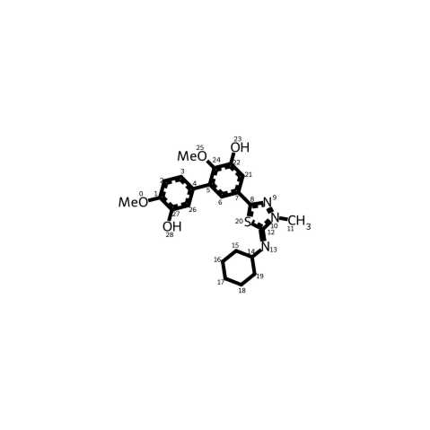 COc1ccc(-c2cc(-c3nn(C)c(=NC4CCCCC4)s3)cc(O)c2OC)cc1O